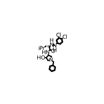 CC(C)C[C@H](NNc1ccc(Cl)c(Cl)c1)C(=O)NC1CN(Cc2ccccc2)CC1O